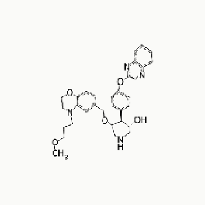 COCCCN1CCOc2ccc(COC3CNC[C@@H](O)[C@@H]3c3ccc(Oc4cnc5ccccc5n4)cc3)cc21